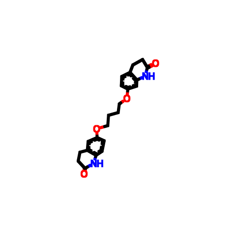 O=C1CCc2cc(OCCCCOc3ccc4c(c3)NC(=O)CC4)ccc2N1